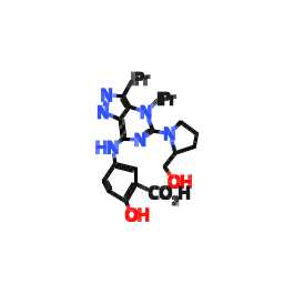 CC(C)c1nnc2c(Nc3ccc(O)c(C(=O)O)c3)nc(N3CCCC3CO)n(C(C)C)c1-2